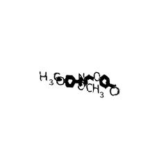 COc1ccc(-c2nc(CCOc3ccc(C=O)cc3)c(C)o2)cc1